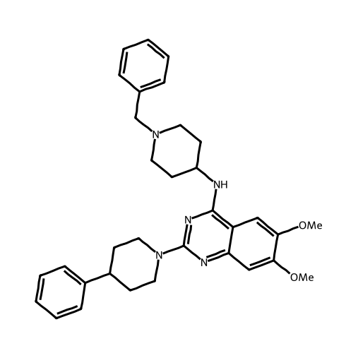 COc1cc2nc(N3CCC(c4ccccc4)CC3)nc(NC3CCN(Cc4ccccc4)CC3)c2cc1OC